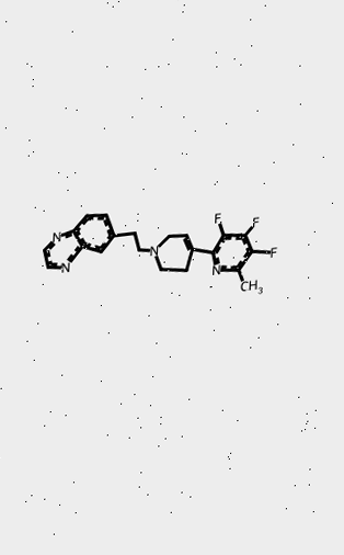 Cc1nc(C2=CCN(CCc3ccc4nccnc4c3)CC2)c(F)c(F)c1F